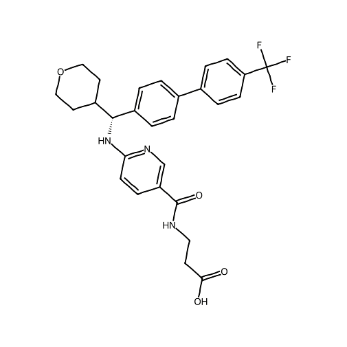 O=C(O)CCNC(=O)c1ccc(N[C@@H](c2ccc(-c3ccc(C(F)(F)F)cc3)cc2)C2CCOCC2)nc1